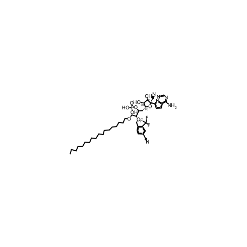 CCCCCCCCCCCCCCCCCCOCC(OCc1ccc(C#N)cc1C(F)(F)F)C(C[C@H]1O[C@@](C#N)(c2ccc3c(N)ncnn23)[C@H](O)[C@@H]1O)OP(=O)(O)O